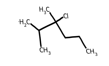 [CH2]C(C)C(C)(Cl)CCC